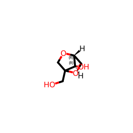 OCC12CO[C@H](CO1)[C@H]2O